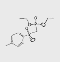 CCOP(=O)(CS(=O)(=O)c1ccc(C)cc1)OCC